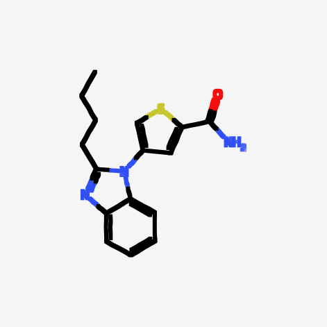 CCCCc1nc2ccccc2n1-c1csc(C(N)=O)c1